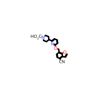 N#Cc1ccc(COc2cccc(C3CCN(C(=O)O)CC3)n2)c2occc12